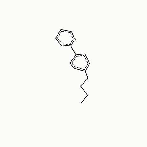 [CH2]CCCc1ccc(-c2ncccn2)cc1